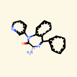 N[C@H]1N=C(c2ccccc2)c2ccccc2N(c2cccnc2)C1=O